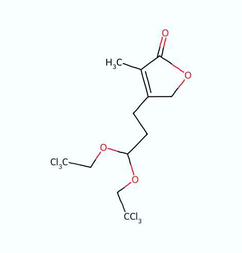 CC1=C(CCC(OCC(Cl)(Cl)Cl)OCC(Cl)(Cl)Cl)COC1=O